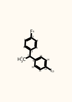 CC(c1ccc(F)cc1)c1ccc(I)cc1